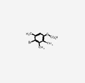 Cc1cc(OC(=O)O)c(C)c(C)c1Br